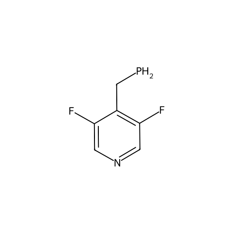 Fc1cncc(F)c1CP